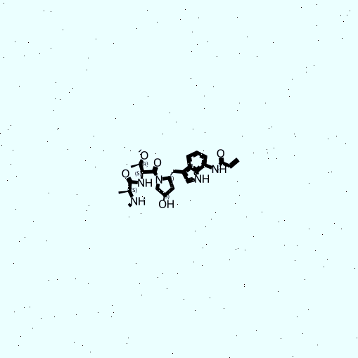 C=CC(=O)Nc1cccc2c(C[C@@H]3C[C@H](O)CN3C(=O)[C@@H](NC(=O)[C@H](C)NC)[C@@H](C)OC)c[nH]c12